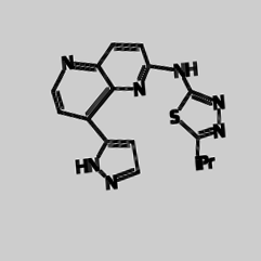 CC(C)c1nnc(Nc2ccc3nccc(-c4ccn[nH]4)c3n2)s1